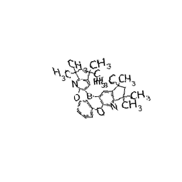 CC1(C)CC(C)(C)c2nc3c(cc21)B1c2cc4c(nc2Oc2cccc(c21)O3)C(C)(C)CC4(C)C